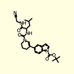 CC(C)CC(NC(=O)N1C=C(c2ccc3c(ccn3C(=O)OC(C)(C)C)c2)CCC1)C(=O)NCC#N